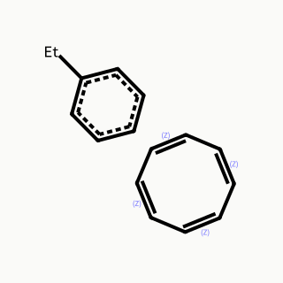 C1=C\C=C/C=C\C=C/1.CCc1ccccc1